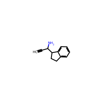 C#CC(N)C1CCc2ccccc21